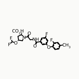 Cc1ccc(Oc2cc(F)cc(C(=O)NCC(=O)N3C[C@H](OC(F)F)C[C@H]3C(=O)O)c2)c(F)c1